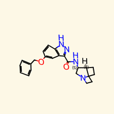 O=C(N[C@@H]1CN2CCC23CC[C@H]13)c1n[nH]c2ccc(OCc3ccccc3)cc12